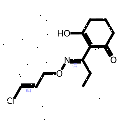 CC/C(=N\OC/C=C/Cl)C1=C(O)CCCC1=O